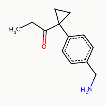 CCC(=O)C1(c2ccc(CN)cc2)CC1